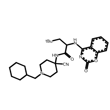 CC(C)(C)CC(Nc1nc(=O)oc2ccccc12)C(=O)NC1(C#N)CCN(CC2CCCCC2)CC1